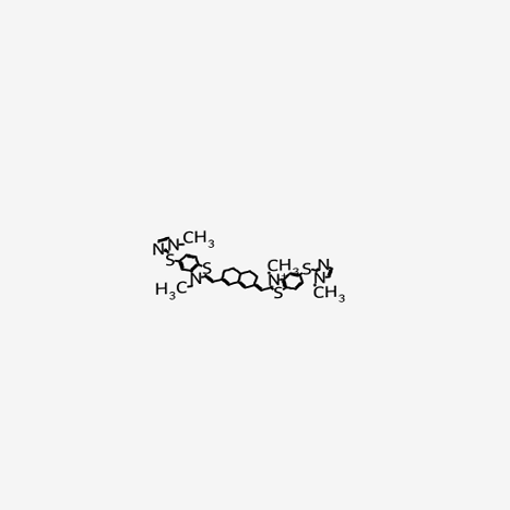 CCN1/C(=C/C2=CC3=C/C(=C/c4sc5ccc(Sc6nccn6CC)cc5[n+]4CC)CCC3CC2)Sc2ccc(Sc3nccn3CC)cc21